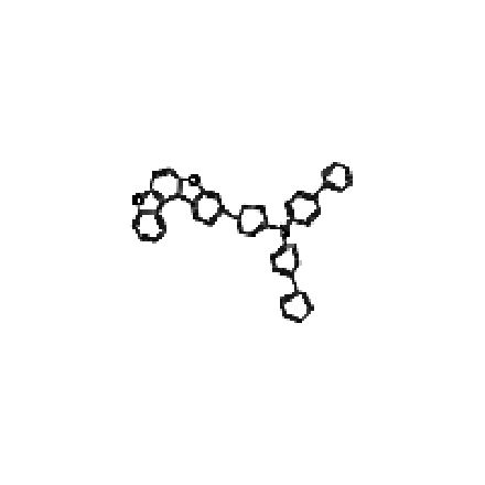 c1ccc(-c2ccc(N(c3ccc(-c4ccccc4)cc3)c3ccc(-c4ccc5c(c4)oc4ccc6oc7ccccc7c6c45)cc3)cc2)cc1